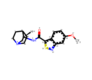 O=C(N[C@@H]1CN2CCC1CC2)c1snc2cc(OC(F)(F)F)ccc12